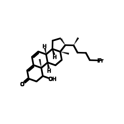 CC(C)CCC[C@@H](C)[C@H]1CC[C@H]2[C@@H]3C=CC4=CC(=O)CC(O)[C@]4(C)[C@H]3CC[C@]12C